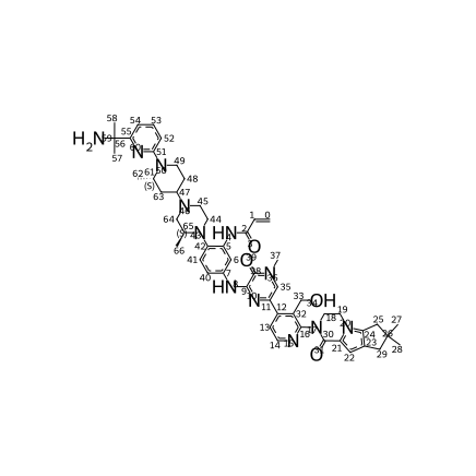 C=CC(=O)Nc1cc(Nc2nc(-c3ccnc(N4CCn5c(cc6c5CC(C)(C)C6)C4=O)c3CO)cn(C)c2=O)ccc1N1CCN(C2CCN(c3cccc(C(C)(C)N)n3)[C@@H](C)C2)C[C@@H]1C